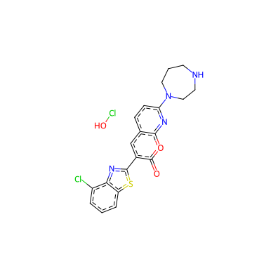 O=c1oc2nc(N3CCCNCC3)ccc2cc1-c1nc2c(Cl)cccc2s1.OCl